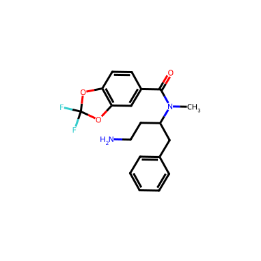 CN(C(=O)c1ccc2c(c1)OC(F)(F)O2)C(CCN)Cc1ccccc1